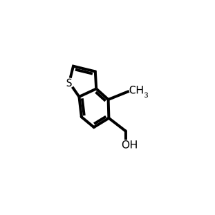 Cc1c(CO)ccc2sccc12